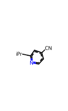 CC(C)c1cc(C#N)ccn1